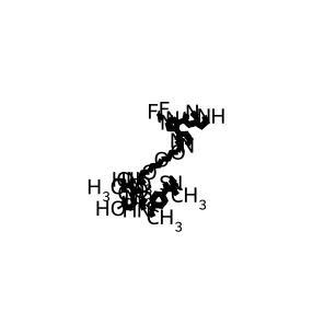 Cc1ncsc1-c1ccc(C(C)NC(=O)[C@@H]2C[C@@H](O)CN2C(=O)C(NC(=O)COCCOCCOc2nccc(-c3cn(CC(F)F)nc3-c3cnc4[nH]ccc4c3)n2)C(C)(C)C)cc1